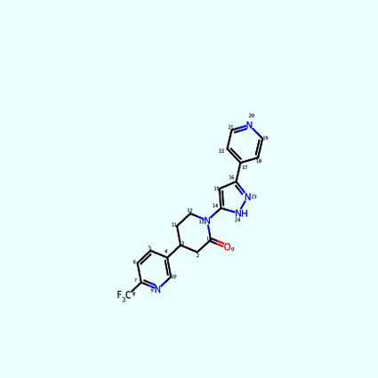 O=C1CC(c2ccc(C(F)(F)F)nc2)CCN1c1cc(-c2ccncc2)n[nH]1